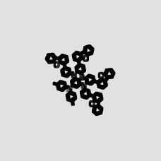 Cc1ccc(N(c2ccc(C)cc2)c2cc3c4c(c2)N(c2cccc(-c5cccc6c5oc5ccccc56)c2)c2cc(-c5cccc6c5oc5ccccc56)ccc2B4c2ccc(-c4cccc5c4oc4ccccc45)cc2N3c2cccc(-c3cccc4c3oc3ccccc34)c2)cc1